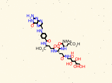 CNC(=O)[C@H](CCC(=O)O)NC(=O)[C@H](CCC(=O)NC[C@H](O)[C@@H](O)[C@H](O)[C@H](O)CO)NC(=O)CC[C@H](NC(=O)c1ccc(NCc2cnc3nc(N)[nH]c(=O)c3n2)cc1)C(=O)O